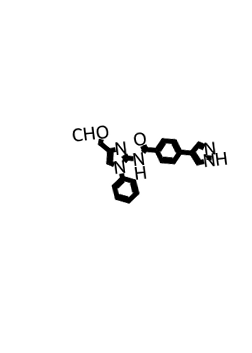 O=CCc1cn(-c2ccccc2)c(NC(=O)c2ccc(-c3cn[nH]c3)cc2)n1